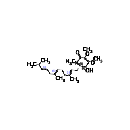 COC1=C(OC)[C@H](O)[C@H](C/C=C(\C)CC/C=C(\C)C/C=C/C(C)C)[C@@H](C)C1=O